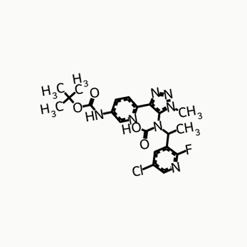 CC(c1cc(Cl)cnc1F)N(C(=O)O)c1c(-c2ccc(NC(=O)OC(C)(C)C)cn2)nnn1C